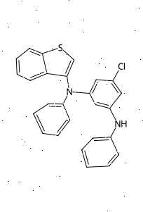 Clc1cc(Nc2ccccc2)cc(N(c2ccccc2)c2csc3ccccc23)c1